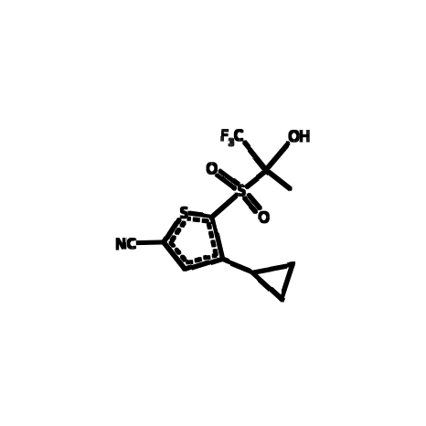 CC(O)(C(F)(F)F)S(=O)(=O)c1sc(C#N)cc1C1CC1